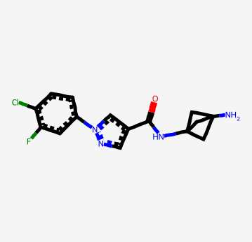 NC12CC(NC(=O)c3cnn(-c4ccc(Cl)c(F)c4)c3)(C1)C2